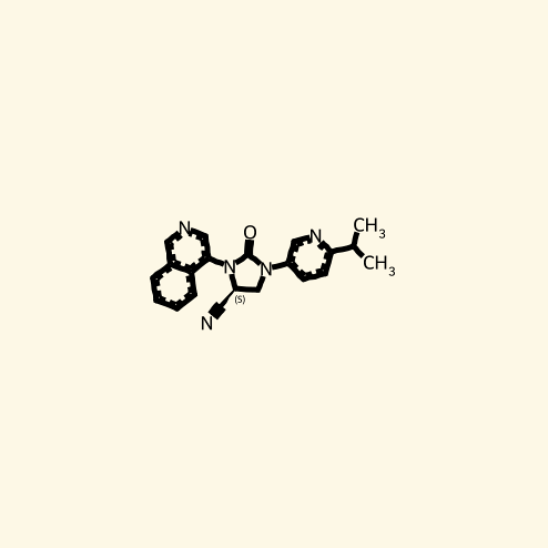 CC(C)c1ccc(N2C[C@@H](C#N)N(c3cncc4ccccc34)C2=O)cn1